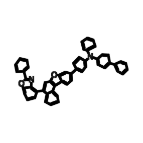 c1ccc(-c2ccc(N(c3ccccc3)c3ccc(-c4ccc5c(c4)oc4cc(-c6cccc7oc(-c8ccccc8)nc67)c6ccccc6c45)cc3)cc2)cc1